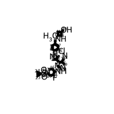 CC1(NCc2ccc(-n3cc(-c4nc(N[C@H]5CCN(S(=O)(=O)C6CC6)C[C@H]5F)ncc4C#N)cn3)c(Cl)c2)CC(O)C1